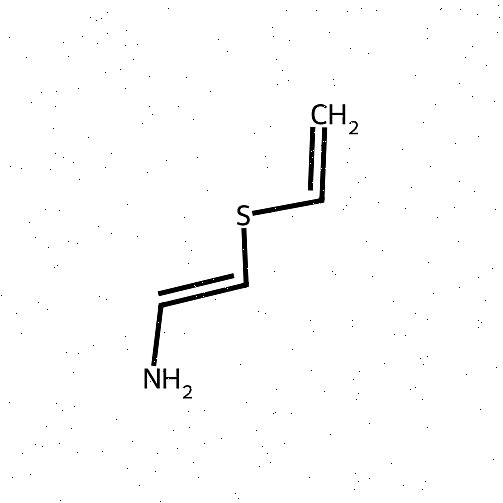 C=CS/C=C/N